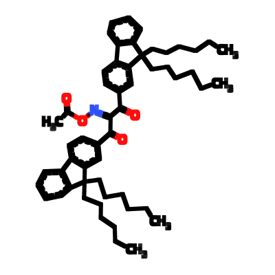 CCCCCCC1(CCCCCC)c2ccccc2-c2ccc(C(=O)C(=NOC(C)=O)C(=O)c3ccc4c(c3)C(CCCCCC)(CCCCCC)c3ccccc3-4)cc21